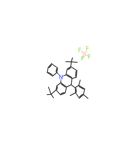 Cc1cc(C)c(C2c3ccc(C(C)(C)C)cc3N(c3ccccc3)c3cc(C(C)(C)C)ccc32)c(C)c1.F[B-](F)(F)F